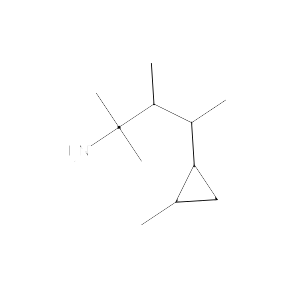 CC1CC1C(C)C(C)C(C)(C)N